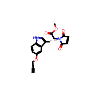 C#CCOc1ccc2[nH]cc(C[C@H](C(=O)OC)N3C(=O)C=CC3=O)c2c1